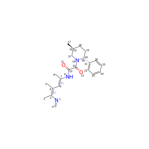 C=N/C(C)=C(C)\C=C(/C)NC(=O)C(=O)N1C[C@@H](C)CC[C@@H]1c1ccccc1